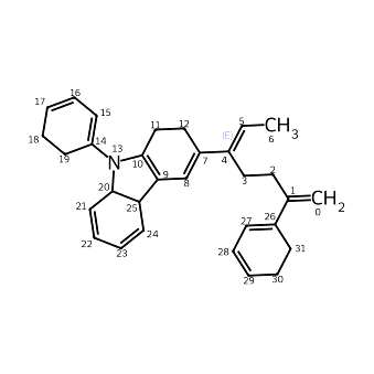 C=C(CC/C(=C\C)C1=CC2=C(CC1)N(C1=CC=CCC1)C1C=CC=CC21)C1=CC=CCC1